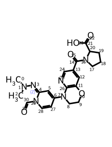 CN(C)/N=c1/cc(N2CCOc3cc(C(=O)N4CCCC4C(=O)O)cnc32)ccn1C=O